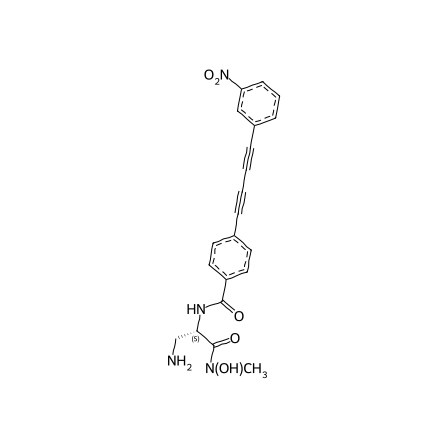 CN(O)C(=O)[C@H](CN)NC(=O)c1ccc(C#CC#Cc2cccc([N+](=O)[O-])c2)cc1